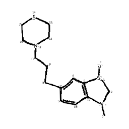 CN1C[S+]([O-])c2cc(CCCN3CCSCC3)ccc21